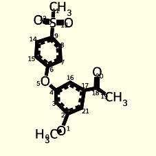 COc1cc(Oc2ccc(S(C)(=O)=O)cc2)cc(C(C)=O)c1